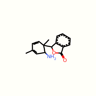 CC1=CC(N)C(C)(C2OC(=O)c3ccccc32)C=C1